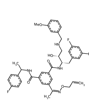 C=CCO/N=C(/C)c1cc(C(=O)NC(C)c2ccc(F)cc2)cc(C(=O)N[C@@H](Cc2cc(F)cc(F)c2)[C@H](O)CNCc2cccc(OC)c2)c1